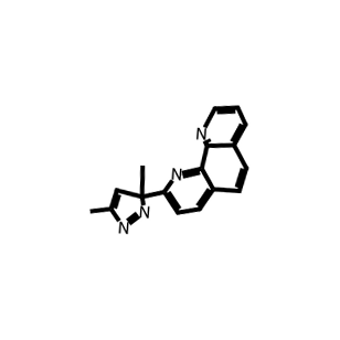 CC1=CC(C)(c2ccc3ccc4cccnc4c3n2)N=N1